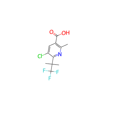 Cc1nc(C(C)(C)C(F)(F)F)c(Cl)cc1C(=O)O